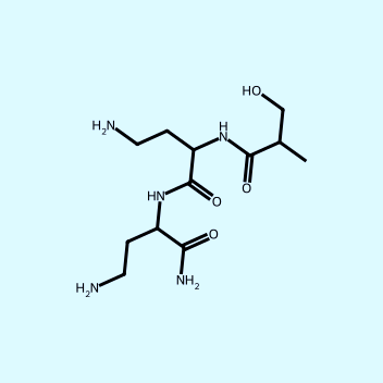 CC(CO)C(=O)NC(CCN)C(=O)NC(CCN)C(N)=O